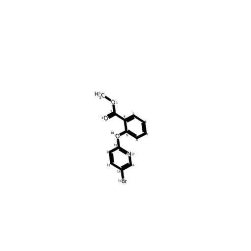 COC(=O)c1ccccc1Oc1ccc(Br)cn1